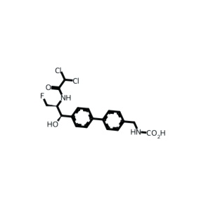 O=C(O)NCc1ccc(-c2ccc([C@@H](O)[C@@H](CF)NC(=O)C(Cl)Cl)cc2)cc1